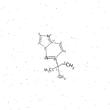 CC(C)(C)C1=NC2C=CN=C2C=C1